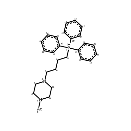 CC(=O)N1CCN(CCCC[PH](c2ccccc2)(c2ccccc2)c2ccccc2)CC1